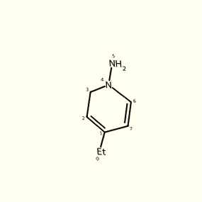 CCC1=CCN(N)C=C1